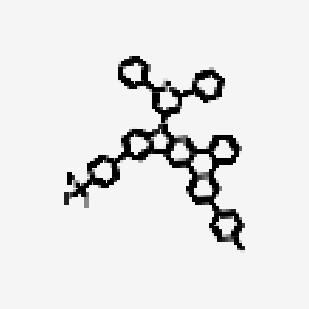 Cc1ccc(-c2ccc3c(c2)c2ccccc2c2cc4c(cc32)c2cc(-c3ccc(C(F)(F)F)cc3)ccc2n4-c2cc(-c3ccccc3)nc(-c3ccccc3)c2)cc1